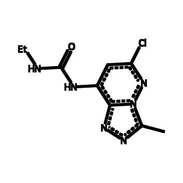 CCNC(=O)Nc1cc(Cl)nn2c(C)nnc12